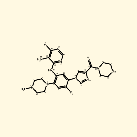 CN1CCN(c2cc(F)c(-n3cc(C(=O)N4CCOCC4)nn3)cc2Nc2ncnc(Cl)c2N)CC1